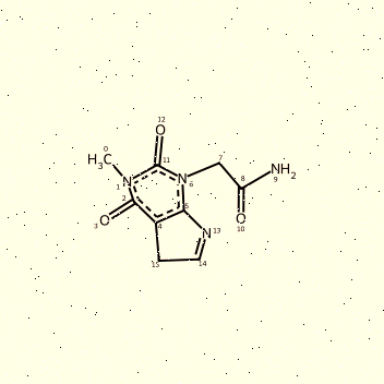 Cn1c(=O)c2c(n(CC(N)=O)c1=O)N=CC2